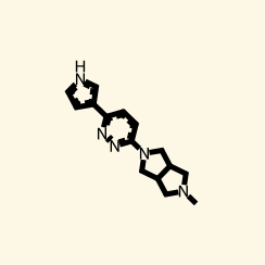 CN1CC2CN(c3ccc(-c4cc[nH]c4)nn3)CC2C1